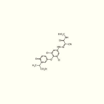 CCOC(=O)NC(=O)C(C#N)=NNc1cc(Cl)c(Oc2ccc(=O)n(C(C)C(=O)OCC)c2)c(Cl)c1